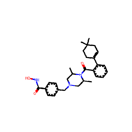 CC1CN(Cc2ccc(C(=O)NO)cc2)CC(C)N1C(=O)c1ccccc1C1=CCC(C)(C)CC1